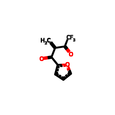 C=C(C(=O)c1ccco1)C(=O)C(F)(F)F